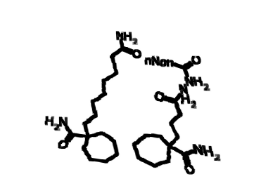 CCCCCCCCCC(N)=O.NC(=O)CCCC1(C(N)=O)CCCCCC1.NC(=O)CCCCCCCC1(C(N)=O)CCCCCC1